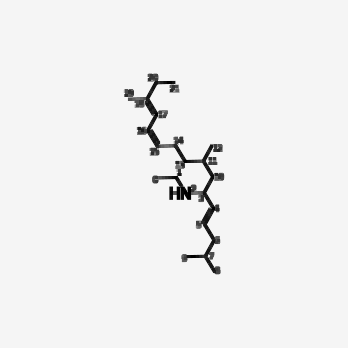 CCNC(/C=C/CC(C)C)CC(C)CC/C=C\C=C(/C)CC